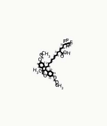 COCOc1ccc(C2(C)COc3cc(OCOC)ccc3C2CCCCCCCCCC(CCCC(F)(F)C(F)(F)F)C(=O)O)cc1